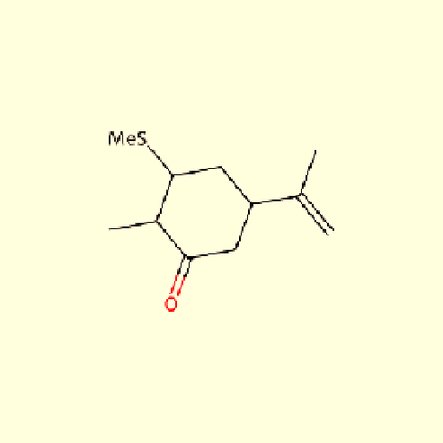 C=C(C)C1CC(=O)C(C)C(SC)C1